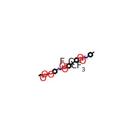 C=CC(=O)OCCOc1ccc(/C=C/C(=O)Oc2ccc(C(c3ccc(OC(=O)/C=C/c4ccc(C)cc4)cc3)(C(F)(F)F)C(F)(F)F)cc2)cc1